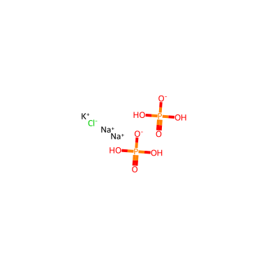 O=P([O-])(O)O.O=P([O-])(O)O.[Cl-].[K+].[Na+].[Na+]